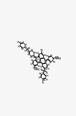 CC1=CCC(C(C)(C)C2=CCC(N3c4ccc(C(C)(C)C)cc4B4c5cc(C(C)(C)c6ccc(C)cc6)ccc5N(C5=CCC(C(C)(C)C)C=C5)c5cc(C)cc3c54)CC2)C=C1